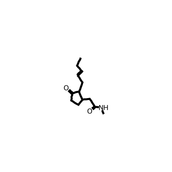 CC/C=C/CC1C(=O)CCC1CC(=O)NC